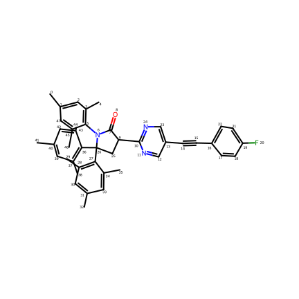 Cc1cc(C)c(N2C(=O)C(c3ncc(C#Cc4ccc(F)cc4)cn3)CC2(c2c(C)cc(C)cc2C)c2c(C)cc(C)cc2C)c(C)c1